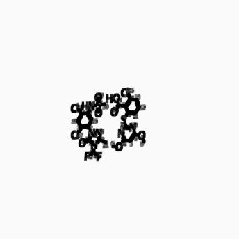 COc1cc(OC)nc(Sc2cccc(Cl)c2C(=O)O)n1.Cc1nn(-c2cc(NS(C)(=O)=O)c(Cl)cc2Cl)c(=O)n1C(F)F